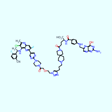 Cc1nc2cc(F)c(-c3cnc(N4CCN(C(=O)COCCn5cc(CCCN6CCC7(CC6)CCN(C(=O)CC[C@H](NC(=O)c6ccc(NCc8cnc9nc(N)nc(O)c9n8)cc6)C(=O)O)CC7)nn5)CC4)nc3)nc2c(N[C@H](C)c2cc(C#N)ccc2F)c1Cl